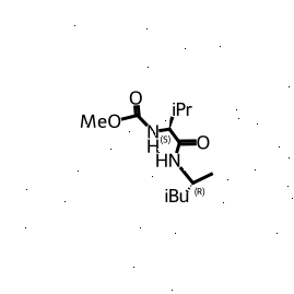 CCC(C)[C@@H](C)NC(=O)[C@@H](NC(=O)OC)C(C)C